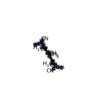 [C-]#[N+]c1ccc(N(c2ccc(-c3ccccc3)cc2)c2ccc3c(c2)C(C)(C)c2cc(/C=C/c4ccc5c(c4)C(C)(C)c4cc(/C=C/c6ccc7c(c6)C(C)(C)c6cc(N(c8ccc(C#N)cc8)c8ccc(-c9ccccc9)cc8)ccc6-7)ccc4-5)ccc2-3)cc1